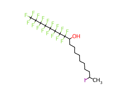 CC(I)CCCCCCCCC(O)C(F)(F)C(F)(F)C(F)(F)C(F)(F)C(F)(F)C(F)(F)C(F)(F)C(F)(F)F